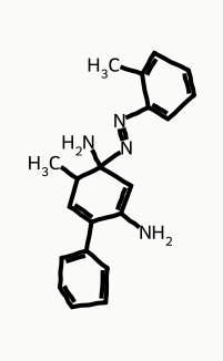 Cc1ccccc1N=NC1(N)C=C(N)C(c2ccccc2)=CC1C